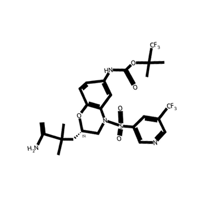 C=C(N)C(C)(C)C[C@H]1CN(S(=O)(=O)c2cncc(C(F)(F)F)c2)c2cc(NC(=O)OC(C)(C)C(F)(F)F)ccc2O1